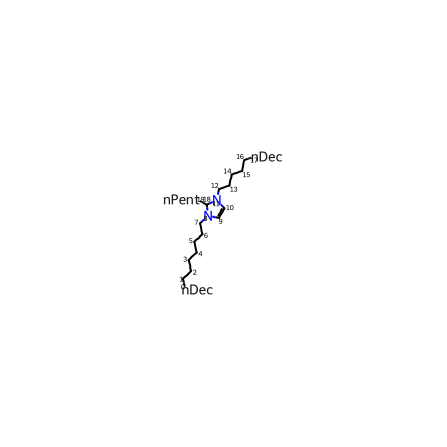 CCCCCCCCCCCCCCCCCN1C=CN(CCCCCCCCCCCCCCC)C1CCCCC